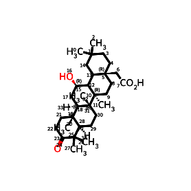 CC1(C)CC[C@]2(CC(=O)O)CC[C@]3(C)C(C2C1)[C@H](O)C[C@@H]1[C@@]2(C)CCC(=O)C(C)(C)[C@@H]2CC[C@]13C